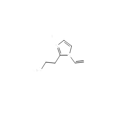 C=Cn1ccnc1CCCCCCCC.Cl